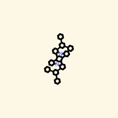 c1ccc(-c2cc(-c3ccccc3)cc(-c3cccc4c5c6c7ccccc7n7c8c(-c9cc(-c%10ccccc%10)cc(-c%10ccccc%10)c9)cccc8c(c8c9ccccc9n(c34)c85)c67)c2)cc1